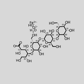 O.O=C([O-])[C@@H](O)[C@H](O)[C@@H](O[C@H]1O[C@H](CO)[C@@H](O[C@H]2O[C@H](CO)[C@@H](O[C@H]3O[C@H](CO)[C@@H](O)[C@H](O)[C@H]3O)[C@H](O)[C@H]2O)[C@H](O)[C@H]1O)[C@H](O)CO.[Fe+3].[O-2].[OH-]